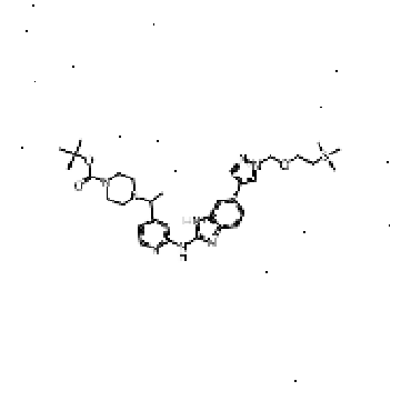 CC(c1ccnc(Nc2nc3ccc(-c4cnn(COCCS(C)(C)C)c4)cc3[nH]2)c1)N1CCN(C(=O)OC(C)(C)C)CC1